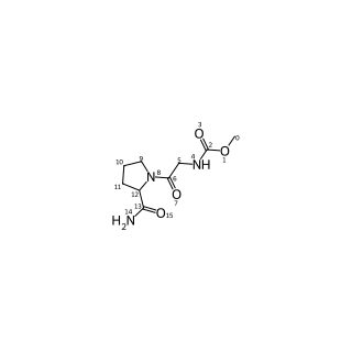 COC(=O)NCC(=O)N1CCCC1C(N)=O